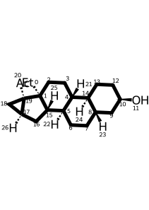 CC[C@]12CC[C@H]3[C@@H](CC[C@H]4C[C@H](O)CC[C@@H]43)[C@@H]1C[C@H]1C[C@]12C(C)=O